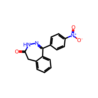 O=C1Cc2ccccc2C(c2ccc([N+](=O)[O-])cc2)=NN1